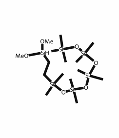 CO[SiH](CC[Si](C)(C)O[Si](C)(C)O[Si](C)(C)O[Si](C)(C)O[Si](C)(C)C)OC